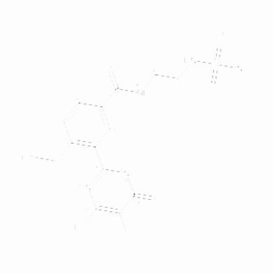 CCCOc1ccc(C(=O)NCCNS(N)(=O)=O)cc1-c1nc(CC)c(CC)c(=O)[nH]1